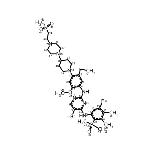 CCc1cc(Nc2ncc(Br)c(Nc3cc(F)c(C)c(C)c3P(C)(C)=O)n2)c(OC)cc1N1CCC(N2CCN(CCS(C)(=O)=O)CC2)CC1